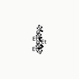 C=C[Si](C)(OC(CC)[C@@](C)(CC)[Si](C)(C)OC(C)[Si](C)(C)C)C(C)(CC)[Si](C)(C)C